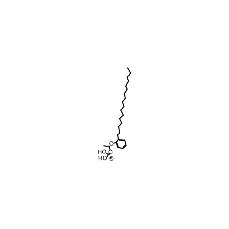 CCCCCCCCCCCCCCCCCc1ccccc1OC(C)OP(=O)(O)O